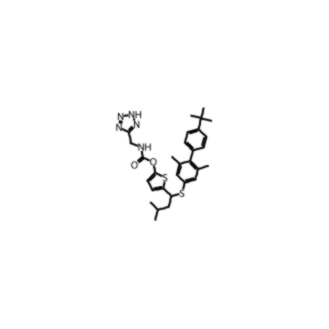 Cc1cc(SC(CC(C)C)c2ccc(OC(=O)NCc3nn[nH]n3)s2)cc(C)c1-c1ccc(C(C)(C)C)cc1